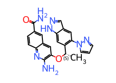 C[C@H](Oc1cc2cc(C(N)=O)ccc2nc1N)c1cc2[nH]ncc2cc1-n1cccn1